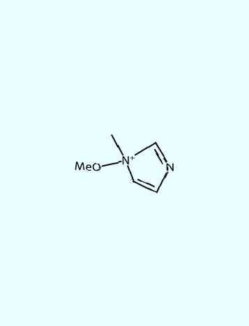 CO[N+]1(C)C=CN=C1